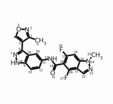 Cc1nocc1-c1n[nH]c2ccc(NC(=O)c3c(F)cc4c(cnn4C)c3F)cc12